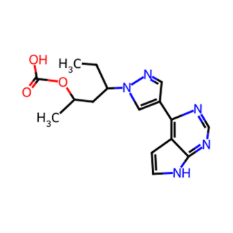 CCC(CC(C)OC(=O)O)n1cc(-c2ncnc3[nH]ccc23)cn1